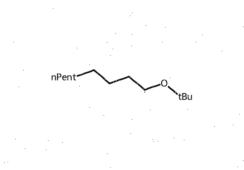 CCCCCCCC[CH]OC(C)(C)C